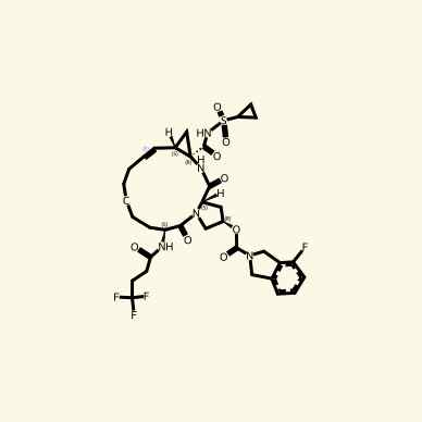 O=C(CCC(F)(F)F)N[C@H]1CCCCC/C=C/[C@@H]2C[C@@]2(C(=O)NS(=O)(=O)C2CC2)NC(=O)[C@@H]2C[C@@H](OC(=O)N3Cc4cccc(F)c4C3)CN2C1=O